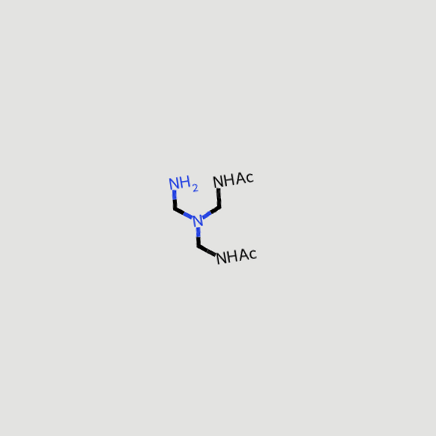 CC(=O)NCN(CN)CNC(C)=O